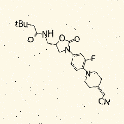 CC(C)(C)CC(=O)NCC1CN(c2ccc(N3CCC(=CC#N)CC3)c(F)c2)C(=O)O1